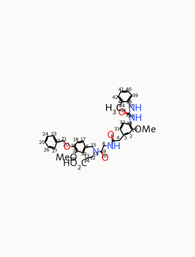 COc1cc(CC(=O)NCC(=O)N(CCC(=O)O)Cc2ccc(OCc3ccccc3)c(OC)c2)ccc1NC(=O)Nc1ccccc1C